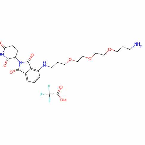 NCCCOCCOCCOCCCNc1cccc2c1C(=O)N(C1CCC(=O)NC1=O)C2=O.O=C(O)C(F)(F)F